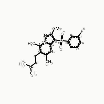 CSc1nn2c(C)c(CCN(C)C)c(C)nc2c1S(=O)(=O)c1cccc(F)c1